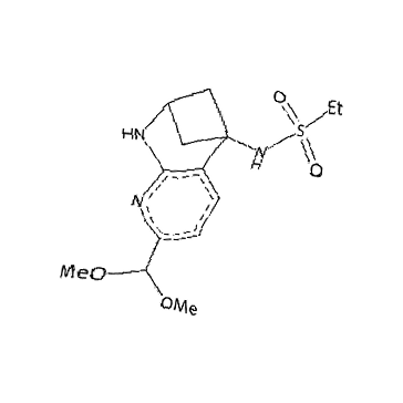 CCS(=O)(=O)NC12CC(C1)Nc1nc(C(OC)OC)ccc12